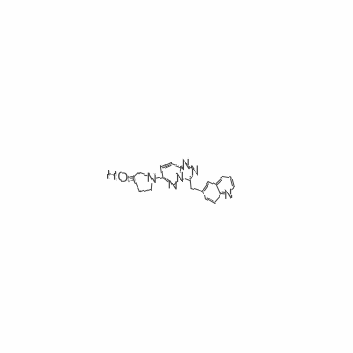 O[C@H]1CCN(c2ccc3nnc(Cc4ccc5ncccc5c4)n3n2)C1